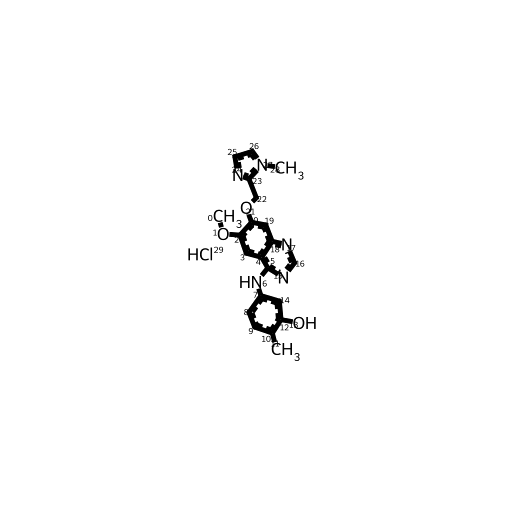 COc1cc2c(Nc3ccc(C)c(O)c3)ncnc2cc1OCc1nccn1C.Cl